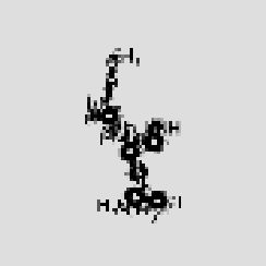 COCCOCCNc1ccc(S(=O)(=O)NC(=O)c2ccc(N3CCN(CC4=C(c5ccc(Cl)cc5)CC(C)(C)CC4)CC3)cc2Oc2cccc3[nH]ccc23)cc1[N+](=O)[O-]